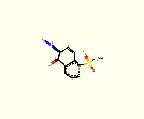 COS(=O)(=O)c1cccc2c1C=CC(=[N+]=[N-])C2=O